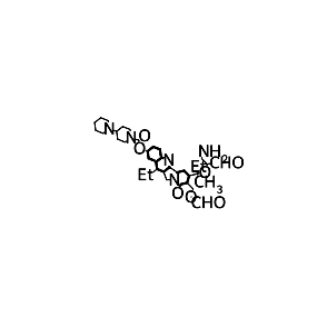 CCc1c2c(nc3ccc(OC(=O)N4CCC(N5CCCCC5)CC4)cc13)-c1cc(C(C)(CC)OC(C=O)CN)c(COC=O)c(=O)n1C2